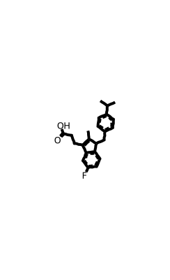 CC1=C(CCC(=O)O)c2cc(F)ccc2C1Cc1ccc(C(C)C)cc1